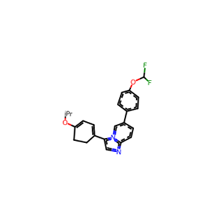 CC(C)OC1=CC=C(c2cnc3ccc(-c4ccc(OC(F)F)cc4)cn23)CC1